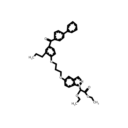 CCCc1cc(C(=O)c2ccc(-c3ccccc3)cc2)ccc1OCCCOc1ccc2c(cnn2C(OCC)C(=O)OCC)c1